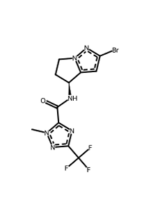 Cn1nc(C(F)(F)F)nc1C(=O)N[C@H]1CCn2nc(Br)cc21